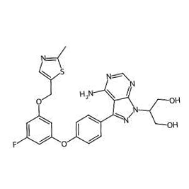 Cc1ncc(COc2cc(F)cc(Oc3ccc(-c4nn(C(CO)CO)c5ncnc(N)c45)cc3)c2)s1